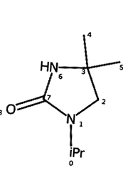 CC(C)N1CC(C)(C)NC1=O